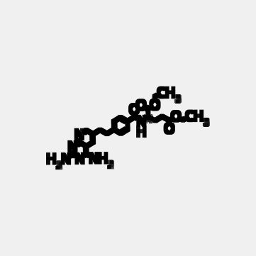 CCOC(=O)CC[C@@H](NC(=O)c1ccc(CCc2cnc3nc(N)nc(N)c3c2)cc1)C(=O)OCC